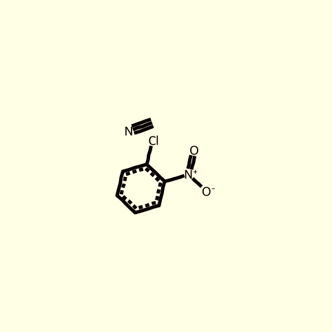 C#N.O=[N+]([O-])c1ccccc1Cl